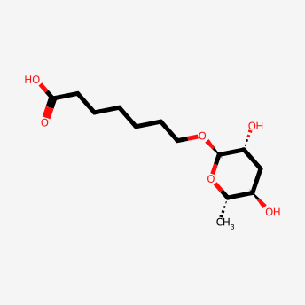 C[C@@H]1O[C@@H](OCCCCCCC(=O)O)[C@H](O)C[C@H]1O